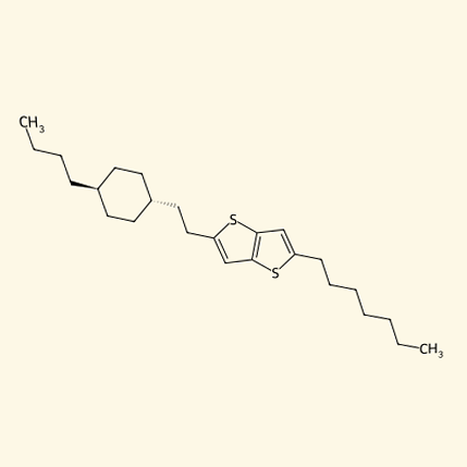 CCCCCCCc1cc2sc(CC[C@H]3CC[C@H](CCCC)CC3)cc2s1